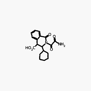 NC(=O)C(=O)N1C(=O)c2ccccc2C(C(=O)O)C1C1CCCCC1